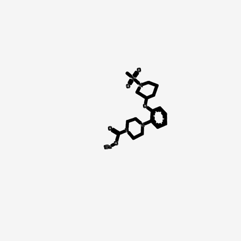 CC(C)(C)OC(=O)N1CCN(c2ccccc2OC2CCCN(S(C)(=O)=O)C2)CC1